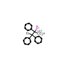 CCC(c1ccccc1)(c1ccccc1)C(P)(C(=O)O)c1ccccc1.Cl